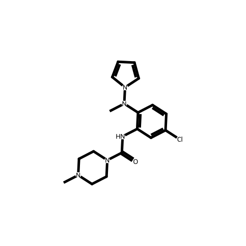 CN1CCN(C(=O)Nc2cc(Cl)ccc2N(C)n2cccc2)CC1